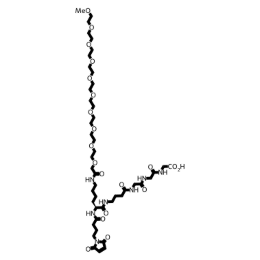 COCCOCCOCCOCCOCCOCCOCCOCCOCCOCC(=O)NCCCC[C@H](NC(=O)CCCN1C(=O)C=CC1=O)C(=O)NCCCC(=O)NCC(=O)NCC(=O)NCC(=O)O